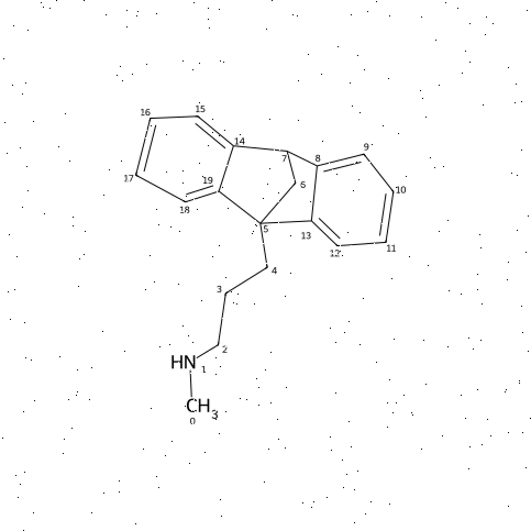 CNCCCC12CC(c3ccccc31)c1ccccc12